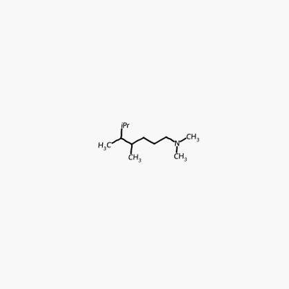 CC(C)C(C)C(C)CCCN(C)C